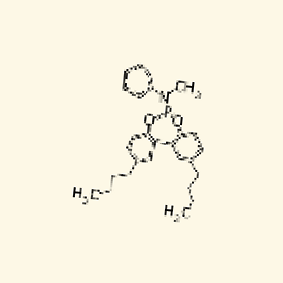 CCCCc1ccc2op(N(C)c3ccccc3)oc3ccc(CCCC)cc3c2c1